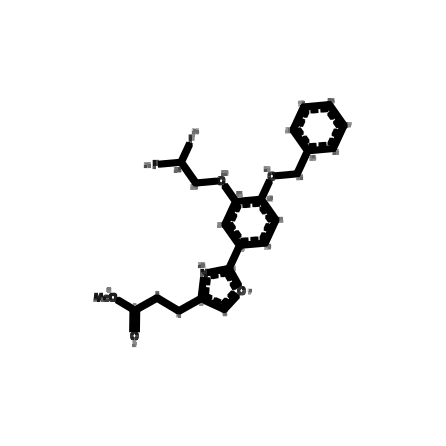 COC(=O)CCc1coc(-c2ccc(OCc3ccccc3)c(OCC(F)F)c2)n1